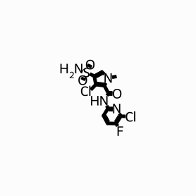 Cn1cc(S(N)(=O)=O)c(Cl)c1C(=O)Nc1ccc(F)c(Cl)n1